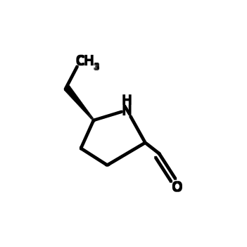 CC[C@@H]1CCC(C=O)N1